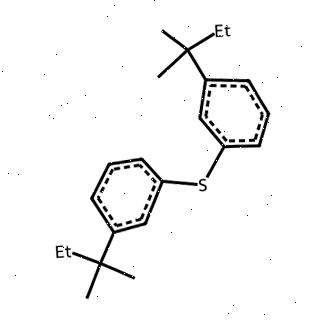 CCC(C)(C)c1cccc(Sc2cccc(C(C)(C)CC)c2)c1